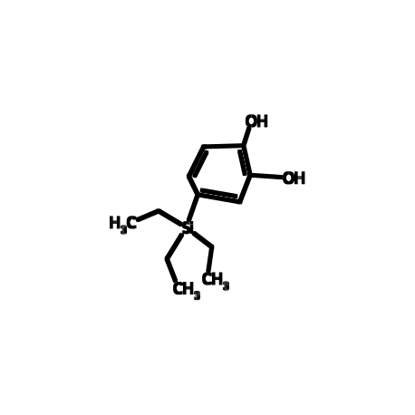 CC[Si](CC)(CC)c1ccc(O)c(O)c1